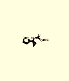 CC(C)(C)OC(=O)NC1(c2ccon2)CC1